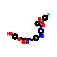 O=C(C1CCCN1S(=O)(=O)c1ccc(F)cc1)N1CCC(Nc2ccc(CCNCC(O)COc3ccc(O)cc3)cc2)CC1